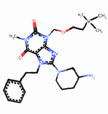 Cn1c(=O)c2c(nc(N3CCCC(N)C3)n2CCc2ccccc2)n(COCC[Si](C)(C)C)c1=O